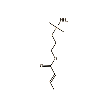 CC=CC(=O)OCCC[Si](C)(C)N